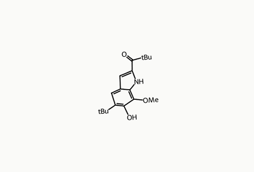 COc1c(O)c(C(C)(C)C)cc2cc(C(=O)C(C)(C)C)[nH]c12